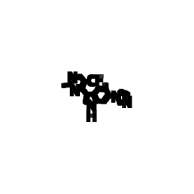 Cc1ncc(C(F)(F)F)c(-c2c[nH]c3cc(-n4ccnc4)ccc23)n1